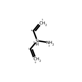 C=C[SiH](N)C=C